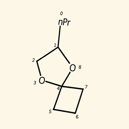 CCCC1COC2(CCC2)O1